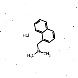 CN(C)Cc1cccc2ccccc12.Cl